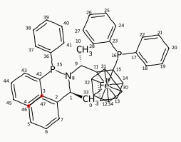 C[C@@H](c1ccccc1)N([C@H](C)[C@@]12[CH]3[CH]4[CH]5[C]1(P(c1ccccc1)c1ccccc1)[Fe]45321678[CH]2[CH]1[CH]6[CH]7[CH]28)P(c1ccccc1)c1ccccc1